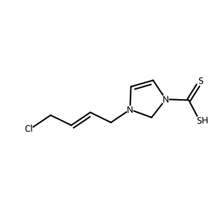 S=C(S)N1C=CN(CC=CCCl)C1